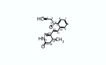 C#CC[S+]([O-])c1ccccc1C=CC1=NNC(=O)CC1C